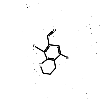 O=Cc1cc(Br)c2c(c1F)OCCC2